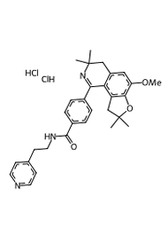 COc1cc2c(c3c1OC(C)(C)C3)C(c1ccc(C(=O)NCCc3ccncc3)cc1)=NC(C)(C)C2.Cl.Cl